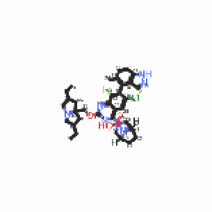 CCC1CN2CC(CC)CC2(COc2nc(N3C[C@H]4CC[C@@H](C3)N4C(=O)O)c3cc(Cl)c(-c4c(C)ccc5[nH]ncc45)c(F)c3n2)C1